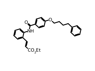 CCOC(=O)C=Cc1ccccc1NC(=O)c1ccc(OCCCCc2ccccc2)cc1